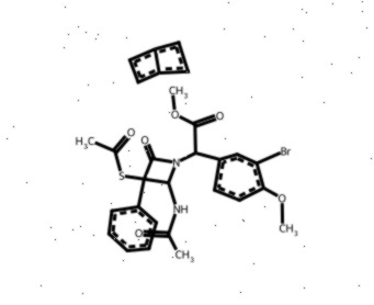 COC(=O)C(c1ccc(OC)c(Br)c1)N1C(=O)C(SC(C)=O)(c2ccccc2)C1NC(C)=O.c1cc2ccc1-2